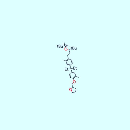 CCC(CC)(c1ccc(CCC(O[Si](C)(C)C(C)(C)C)C(C)(C)C)c(C)c1)c1ccc(OCC2CCCO2)c(C)c1